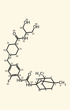 CC12CC3CC(C)(C1)CC(NC(=O)Nc1ccc(CN4CCC(C(=O)NC(CO)CO)CC4)cc1F)(C3)C2